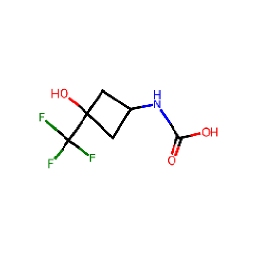 O=C(O)NC1CC(O)(C(F)(F)F)C1